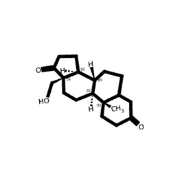 C[C@]12CCC(=O)CC1CC[C@H]1[C@@H]3CCC(=O)[C@@]3(CO)CC[C@@H]12